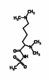 CN(C)CCCCC(C(=O)NS(C)(=O)=O)N(C)C